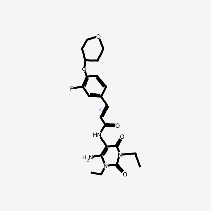 CCn1c(N)c(NC(=O)/C=C/c2ccc(OC3CCOCC3)c(F)c2)c(=O)n(CC)c1=O